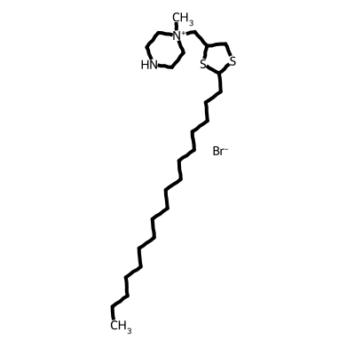 CCCCCCCCCCCCCCCCCC1SCC(C[N+]2(C)CCNCC2)S1.[Br-]